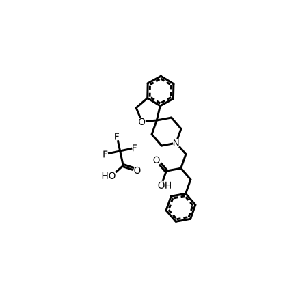 O=C(O)C(Cc1ccccc1)CN1CCC2(CC1)OCc1ccccc12.O=C(O)C(F)(F)F